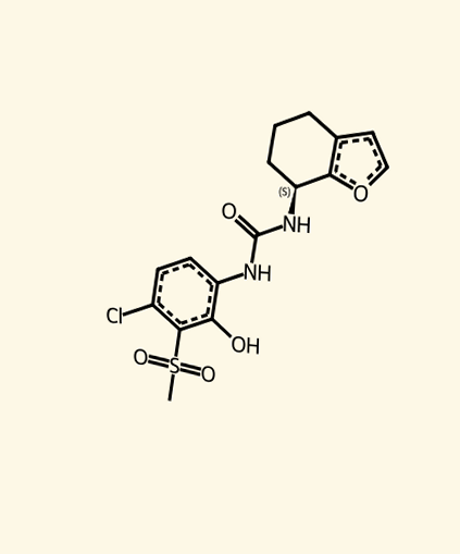 CS(=O)(=O)c1c(Cl)ccc(NC(=O)N[C@H]2CCCc3ccoc32)c1O